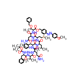 COc1ccc(/N=N/c2ccc(COC(=O)C(NC(=O)C(CC(N)=O)NC(=O)C(CCSC)NC(=O)C(CC(C)C)NC(=O)C(Cc3ccccc3)NC(=O)C(CCC(N)=O)NC(=O)C(NC(=O)C(Cc3ccccc3)NC(=O)OC(C)(C)C)C(C)C)C(C)OCc3ccccc3)cc2)cc1